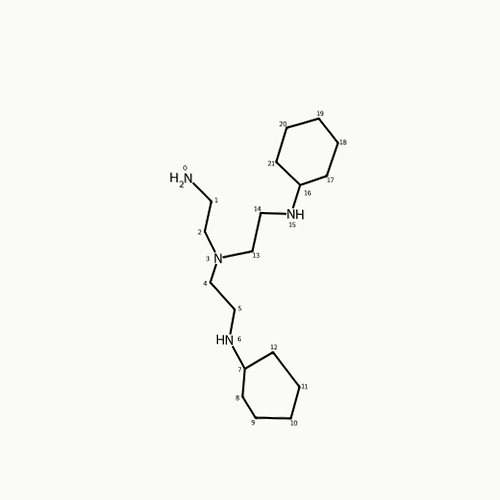 NCCN(CCNC1CCCCC1)CCNC1CCCCC1